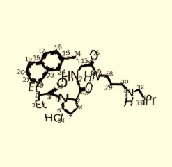 CCC(CC)C(=O)N1CCCC1C(=O)N[C@H](Cc1ccc2ccccc2c1)C(=O)NCCCNCC(C)C.Cl